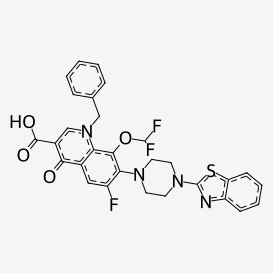 O=C(O)c1cn(Cc2ccccc2)c2c(OC(F)F)c(N3CCN(c4nc5ccccc5s4)CC3)c(F)cc2c1=O